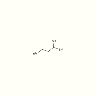 CCCCCC(S)S